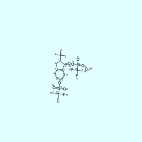 CC(C)(C)C1Cc2ccccc2C1=O.O=S(=O)([O-])C(F)(F)F.O=S(=O)([O-])C(F)(F)F.[Cu+2]